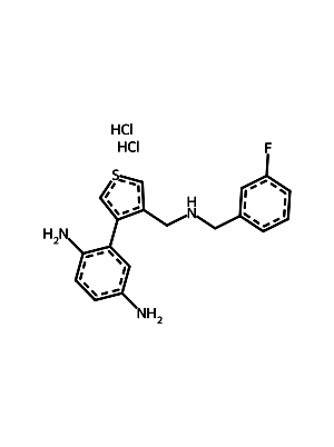 Cl.Cl.Nc1ccc(N)c(-c2cscc2CNCc2cccc(F)c2)c1